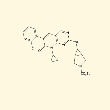 CCOC(=O)N1CC2C(C1)C2Nc1ncc2cc(-c3ccccc3Cl)c(=O)n(C3CC3)c2n1